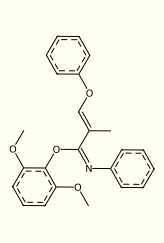 COc1cccc(OC)c1OC(=Nc1ccccc1)C(C)=COc1ccccc1